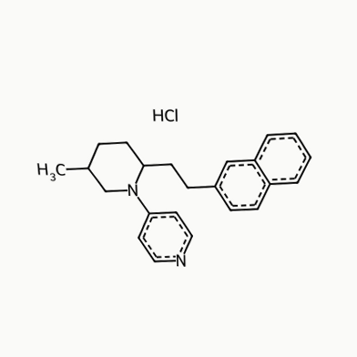 CC1CCC(CCc2ccc3ccccc3c2)N(c2ccncc2)C1.Cl